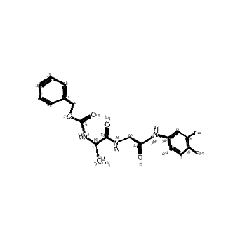 C[C@@H](NC(=O)OCc1ccccc1)C(=O)NCC(=O)Nc1ccc(F)c(F)c1